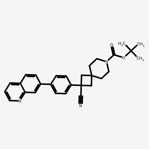 CC(C)(C)OC(=O)N1CCC2(CC1)CC(C#N)(c1ccc(-c3ccc4cccnc4c3)cc1)C2